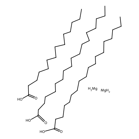 CCCCCCCCCCCCCC(=O)O.CCCCCCCCCCCCCCCCCC(=O)O.CCCCCCCCCCCCCCCCCC(=O)O.[MgH2].[MgH2]